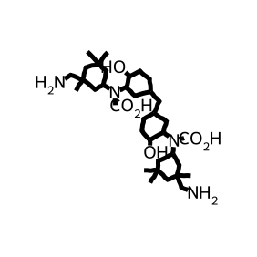 CC1(C)CC(N(C(=O)O)C2CC(CC3CCC(O)C(N(C(=O)O)C4CC(C)(C)CC(C)(CN)C4)C3)CCC2O)CC(C)(CN)C1